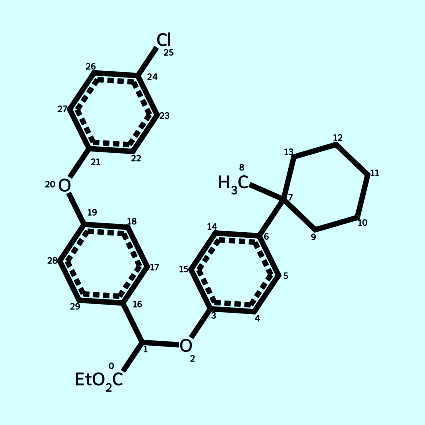 CCOC(=O)C(Oc1ccc(C2(C)CCCCC2)cc1)c1ccc(Oc2ccc(Cl)cc2)cc1